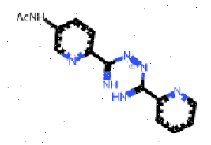 CC(=O)Nc1ccc(C(=N)/N=N\C(=N)c2ccccn2)nc1